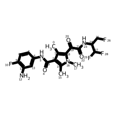 Cc1c(C(=O)Nc2ccc(F)c(N)c2)c(C)n(C)c1C(=O)C(=O)NC(CF)C(F)F